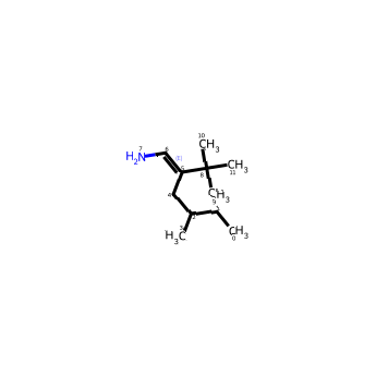 CCC(C)C/C(=C\N)C(C)(C)C